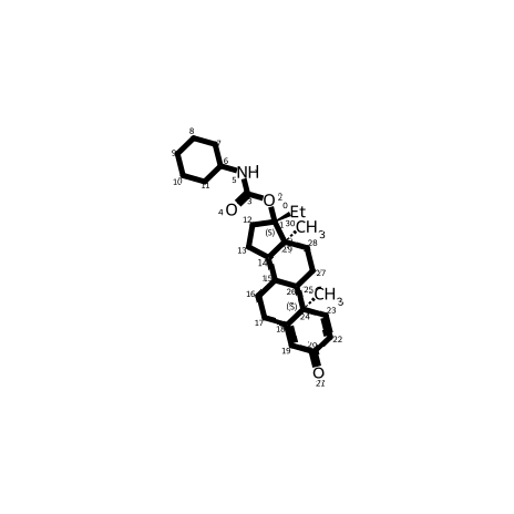 CC[C@]1(OC(=O)NC2CCCCC2)CCC2C3CCC4=CC(=O)C=C[C@]4(C)C3CC[C@@]21C